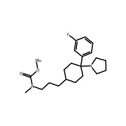 CN(CCCC1CCC(c2cccc(F)c2)(N2CCCC2)CC1)C(=O)OC(C)(C)C